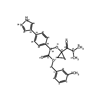 Cc1cccc(COC(=O)N(OC2(C(=O)N(C)C)CC2)c2ccc(-c3cn[nH]c3)cc2)c1